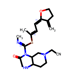 C=C1CCO/C1=C/C=C(\C)S/C(=N\C)N1C(=O)CNC2CCN(CC#N)CC21